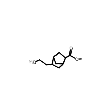 COC(=O)C1CC2CC1CC2CCO